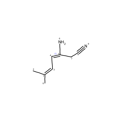 CC(C)=C/C=C(/N)CC#N